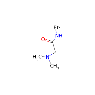 C[CH]NC(=O)CN(C)C